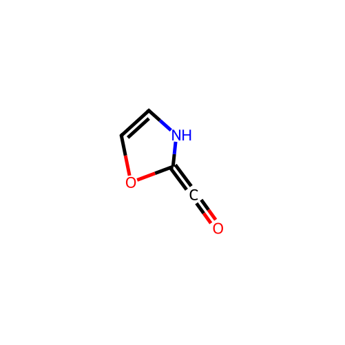 O=C=C1NC=CO1